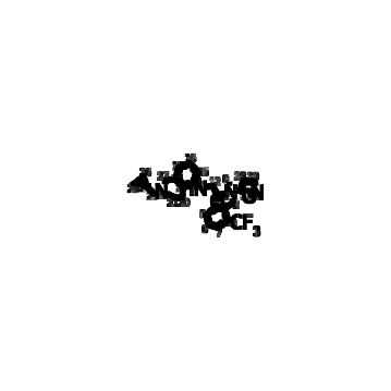 C[N+](Cc1ccccc1C(F)(F)F)(C(=O)CNc1cccc2c1CCN(CC1CC1)C2)c1ccno1